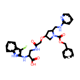 O=C(COC1CC(CNc2ccccn2)N(C(=O)OCc2ccccc2)C1)NCC(Nc1[nH]c2ccccc2c1F)C(=O)O